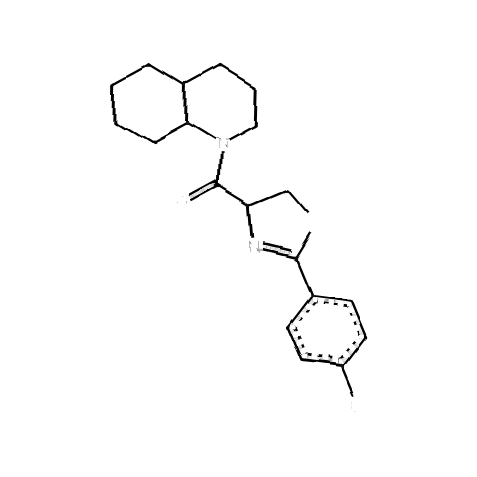 O=C(C1CSC(c2ccc(Cl)cc2)=N1)N1CCCC2CCCCC21